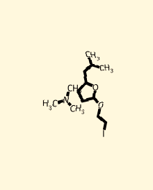 CC(C)CC1CCC(OCCI)O1.CN(C)C